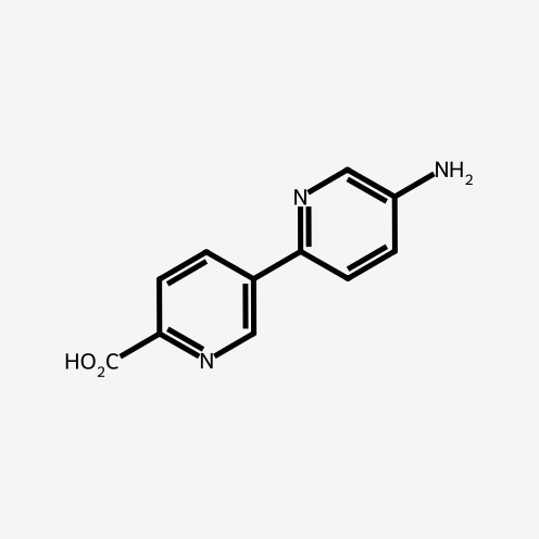 Nc1ccc(-c2ccc(C(=O)O)nc2)nc1